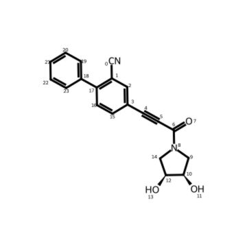 N#Cc1cc(C#CC(=O)N2C[C@@H](O)[C@@H](O)C2)ccc1-c1ccccc1